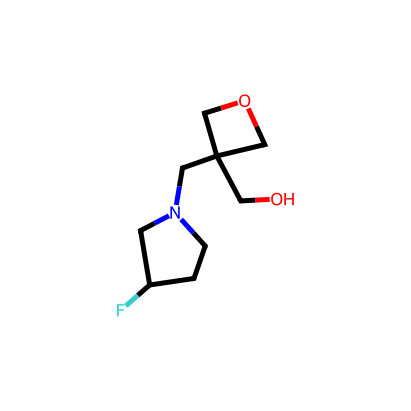 OCC1(CN2CCC(F)C2)COC1